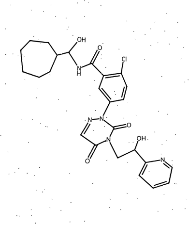 O=C(NC(O)C1CCCCCC1)c1cc(-n2ncc(=O)n(CC(O)c3ccccn3)c2=O)ccc1Cl